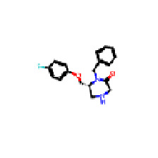 O=C1CNC[C@H](COc2ccc(F)cc2)N1Cc1ccccc1